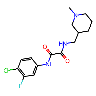 CN1CCCC(CNC(=O)C(=O)Nc2ccc(Cl)c(F)c2)C1